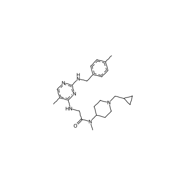 Cc1ccc(CNc2ncc(C)c(NCC(=O)N(C)C3CCN(CC4CC4)CC3)n2)cc1